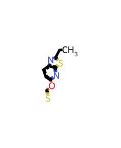 CCc1nc2ccc(OC=S)nc2s1